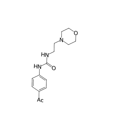 CC(=O)c1ccc(NC(=O)NCCN2CCOCC2)cc1